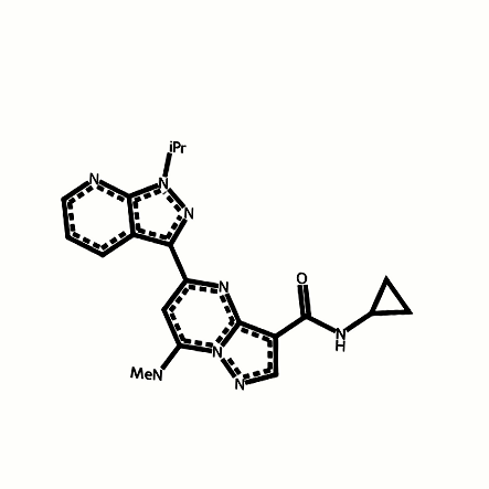 CNc1cc(-c2nn(C(C)C)c3ncccc23)nc2c(C(=O)NC3CC3)cnn12